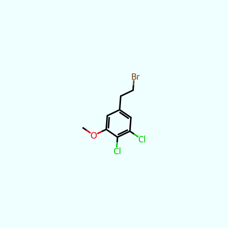 COc1cc(CCBr)cc(Cl)c1Cl